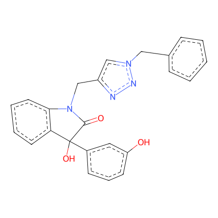 O=C1N(Cc2cn(Cc3ccccc3)nn2)c2ccccc2C1(O)c1cccc(O)c1